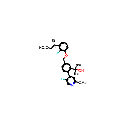 CC[C@@H](CC(=O)O)c1cccc(OCc2ccc(-c3cc(OC)ncc3F)c(C(O)(C(C)(C)C)C(C)(C)C)c2)c1F